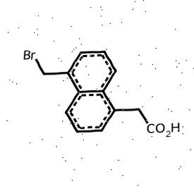 O=C(O)Cc1cccc2c(CBr)cccc12